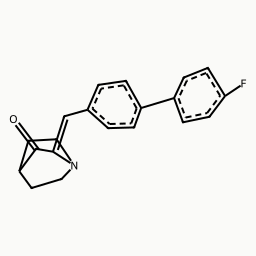 O=C1C(=Cc2ccc(-c3ccc(F)cc3)cc2)N2CCC1CC2